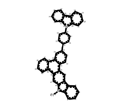 CCn1c2ccccc2c2cc3c4ccc(-c5ccc(-n6c7ccccc7c7ccccc76)cc5)cc4c4ccccc4c3cc21